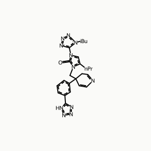 CCCc1cn(-c2nnnn2C(C)CC)c(=O)n1CC1(c2cccc(-c3nnn[nH]3)c2)C=CN=CC1